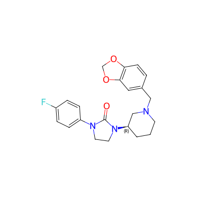 O=C1N(c2ccc(F)cc2)CCN1[C@@H]1CCCN(Cc2ccc3c(c2)OCO3)C1